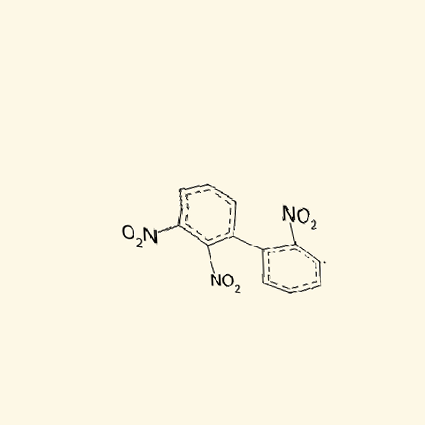 O=[N+]([O-])c1[c]cccc1-c1cccc([N+](=O)[O-])c1[N+](=O)[O-]